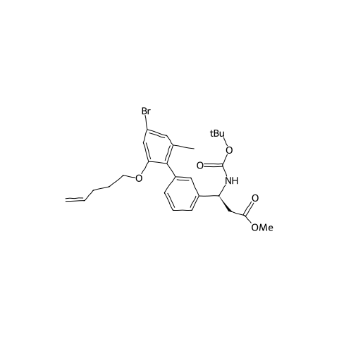 C=CCCCOc1cc(Br)cc(C)c1-c1cccc([C@H](CC(=O)OC)NC(=O)OC(C)(C)C)c1